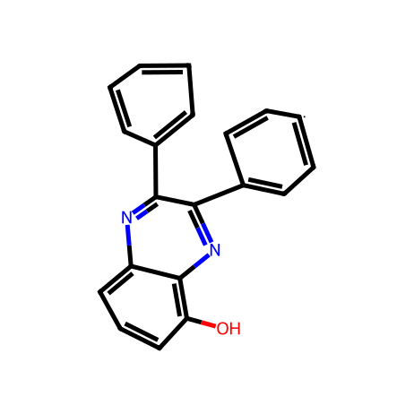 Oc1cccc2nc(-c3ccccc3)c(-c3cc[c]cc3)nc12